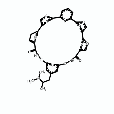 CC(Cc1cc2cc(c1)CNC(=O)c1coc(n1)-c1coc(n1)-c1cccc(n1)-c1nc(co1)C1=NC(=CC1)C(=O)NC2)N(C)C